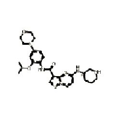 CC(C)Oc1cc(N2CCOCC2)ccc1NC(=O)c1cnn2ccc(N[C@@H]3CCCNC3)nc12